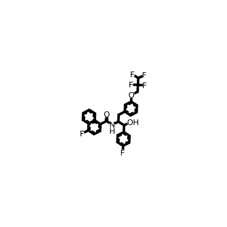 O=C(NC(Cc1cccc(OCC(F)(F)C(F)F)c1)C(O)c1ccc(F)cc1)c1ccc(F)c2ccccc12